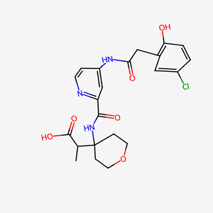 CC(C(=O)O)C1(NC(=O)c2cc(NC(=O)Cc3cc(Cl)ccc3O)ccn2)CCOCC1